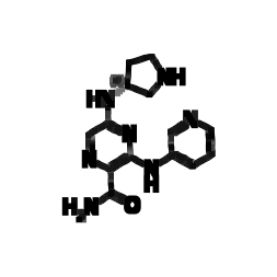 NC(=O)c1ncc(N[C@@H]2CCNC2)nc1Nc1cccnc1